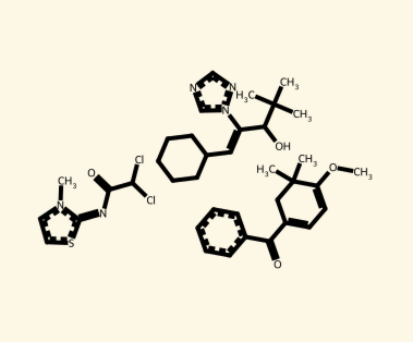 CC(C)(C)C(O)/C(=C/C1CCCCC1)n1cncn1.COC1=CC=C(C(=O)c2ccccc2)CC1(C)C.Cn1ccs/c1=N/C(=O)C(Cl)Cl